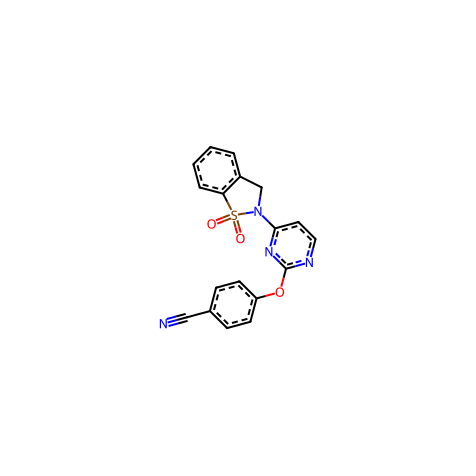 N#Cc1ccc(Oc2nccc(N3Cc4ccccc4S3(=O)=O)n2)cc1